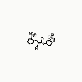 N#CC(=Cc1ccccc1[N+](=O)[O-])C(=O)Nc1ccc2c(c1)S(=O)(=O)C=C2